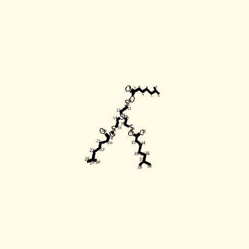 CC(C)CCCCC(=O)OSC[CH2][Sb]([CH2]CSOC(=O)CCCCC(C)C)[CH2]CSOC(=O)CCCCC(C)C